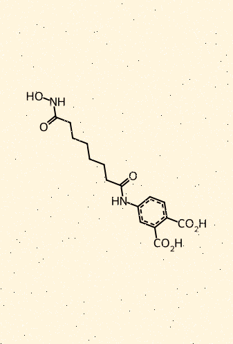 O=C(CCCCCCC(=O)Nc1ccc(C(=O)O)c(C(=O)O)c1)NO